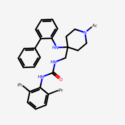 CC(=O)N1CCC(CNC(=O)Nc2c(C(C)C)cccc2C(C)C)(Nc2ccccc2-c2ccccc2)CC1